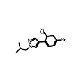 CC(C)Cn1cc(C2=CC=C(Br)CC2Cl)cn1